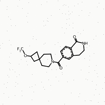 O=C1NCCc2cc(C(=O)N3CCC4(CC3)CC(OC(F)(F)F)C4)ccc21